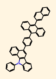 c1ccc(-n2c3ccccc3c3cc(-c4ccc(-c5c6ccccc6c(-c6ccc7ccccc7c6)c6ccccc56)cc4)c4ccccc4c32)cc1